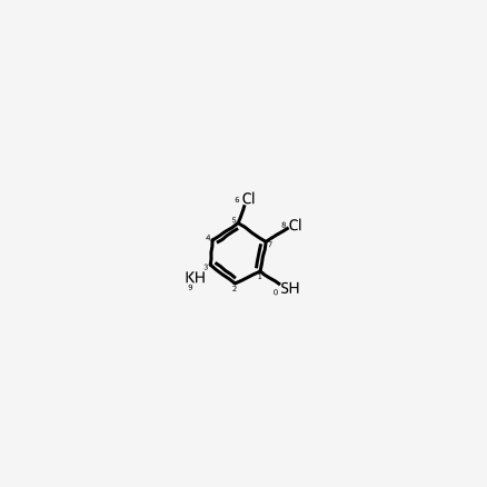 Sc1cccc(Cl)c1Cl.[KH]